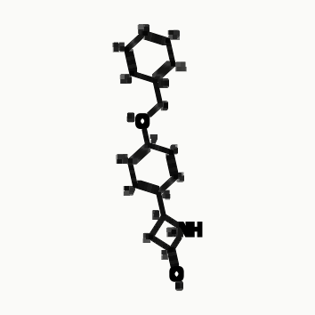 O=C1CC(c2ccc(OCc3ccccc3)cc2)N1